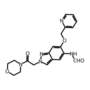 O=CNc1cc2cn(CC(=O)N3CCOCC3)nc2cc1OCc1ccccn1